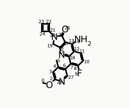 COc1cc(C)c(-c2c(F)ccc3c(N)c4c(nc23)CN(C2=CC=C2)C4=O)cn1